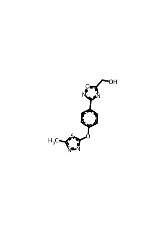 Cc1nnc(Oc2ccc(-c3noc(CO)n3)cc2)s1